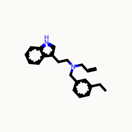 C=CCN(CCc1c[nH]c2ccccc12)Cc1cccc(CC)c1